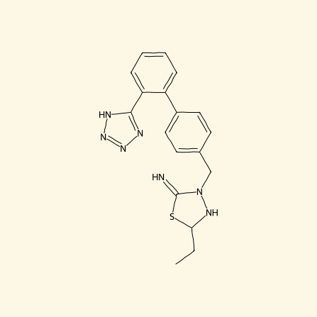 CCC1NN(Cc2ccc(-c3ccccc3-c3nnn[nH]3)cc2)C(=N)S1